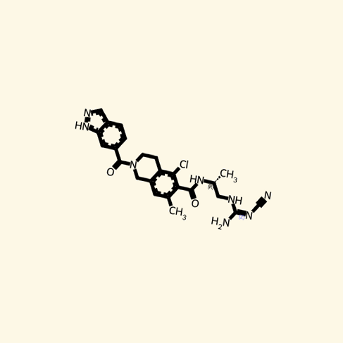 Cc1cc2c(c(Cl)c1C(=O)N[C@H](C)CN/C(N)=N\C#N)CCN(C(=O)c1ccc3cn[nH]c3c1)C2